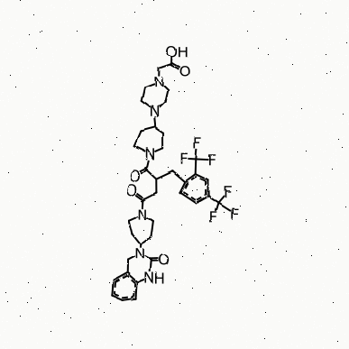 O=C(O)CN1CCN(C2CCN(C(=O)C(CC(=O)N3CCC(N4Cc5ccccc5NC4=O)CC3)Cc3ccc(C(F)(F)F)cc3C(F)(F)F)CC2)CC1